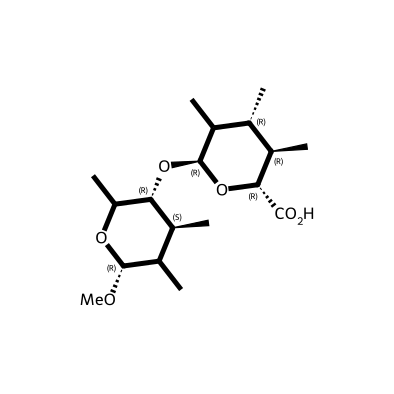 CO[C@@H]1OC(C)[C@H](O[C@@H]2O[C@@H](C(=O)O)[C@H](C)[C@@H](C)C2C)[C@@H](C)C1C